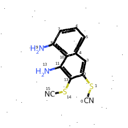 N#CSc1cc2cccc(N)c2c(N)c1SC#N